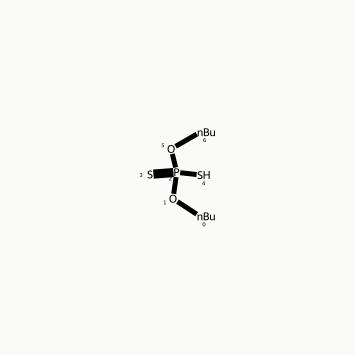 CCCCOP(=S)(S)OCCCC